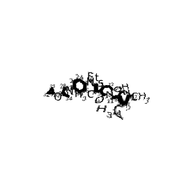 CCN(c1sc2c(c1C)C(=O)N(Cc1c(C)cc(C)[nH]c1=O)CC2)[C@H]1CC[C@H](N2CC(OC3CC3)C2)CC1